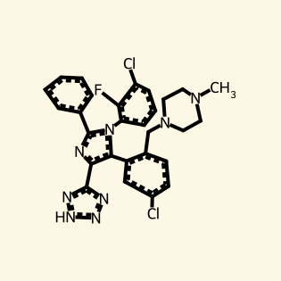 CN1CCN(Cc2ccc(Cl)cc2-c2c(-c3nn[nH]n3)nc(-c3ccccc3)n2-c2cccc(Cl)c2F)CC1